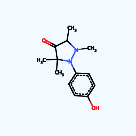 CC1C(=O)C(C)(C)N(c2ccc(O)cc2)N1C